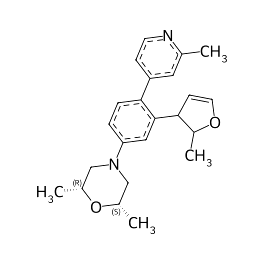 Cc1cc(-c2ccc(N3C[C@@H](C)O[C@@H](C)C3)cc2C2C=COC2C)ccn1